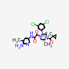 Cc1cc(NC(=O)C(=O)N2C[C@@H](C)N(C(=O)C3(C(F)(F)F)CC3)C[C@@H]2c2cc(Cl)cc(Cl)c2)cnc1N